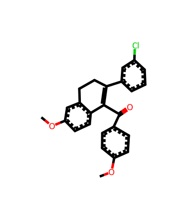 COc1ccc(C(=O)C2=C(c3cccc(Cl)c3)CCc3cc(OC)ccc32)cc1